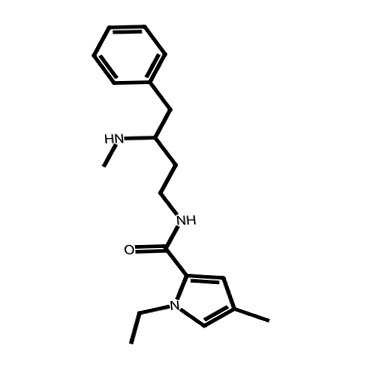 CCn1cc(C)cc1C(=O)NCCC(Cc1ccccc1)NC